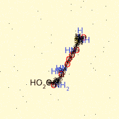 N=N/C(=C\NCCOCCOCCOCCNC(=O)CCCC[C@@H]1SC[C@@H]2NC(=O)N[C@@H]21)COCCCc1ccc(C(=O)CCC(=O)O)c(N)c1